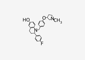 CN1CCC(Oc2ccc(CN3c4ccc(O)cc4CCC3c3ccc(F)cc3)cc2)C1